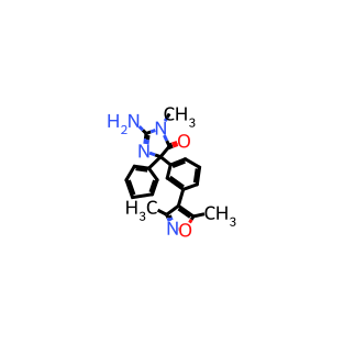 Cc1noc(C)c1-c1cccc(C2(c3ccccc3)N=C(N)N(C)C2=O)c1